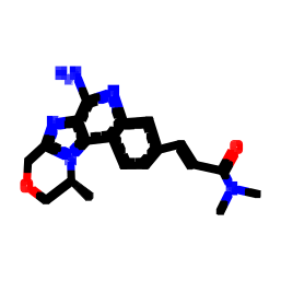 C[C@H]1COCc2nc3c(N)nc4cc(/C=C/C(=O)N(C)C)ccc4c3n21